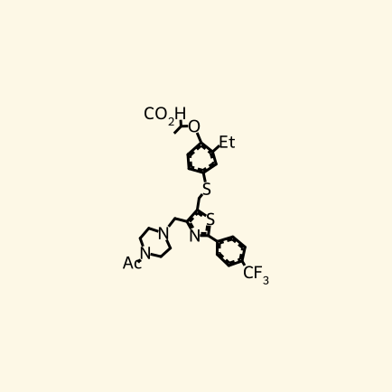 CCc1cc(SCc2sc(-c3ccc(C(F)(F)F)cc3)nc2CN2CCN(C(C)=O)CC2)ccc1OC(C)C(=O)O